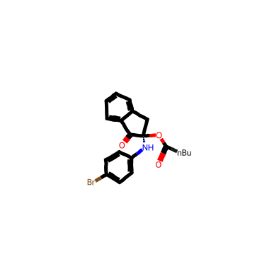 CCCCC(=O)O[C@]1(Nc2ccc(Br)cc2)Cc2ccccc2C1=O